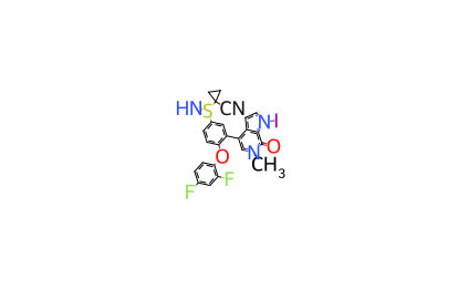 Cn1cc(-c2cc(S(=N)C3(C#N)CC3)ccc2Oc2ccc(F)cc2F)c2ccn(I)c2c1=O